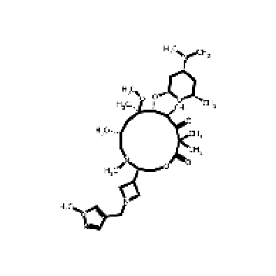 CO[C@]1(C)C[C@@H](C)CN(C)C(C2CN(Cc3cnn(C)c3)C2)COC(=O)C(C)(C)C(=O)[C@H](C)[C@H]1O[C@H]1C[C@@H](N(C)C)C[C@@H](C)O1